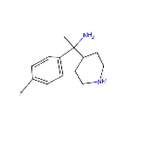 CC(N)(c1ccc(I)cc1)C1CCNCC1